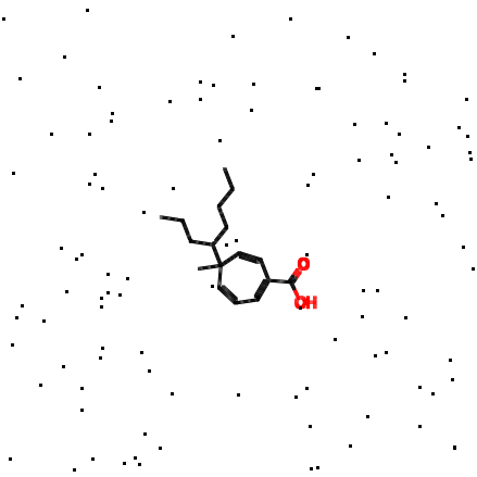 CCCCC(CCC)C1(C)C=CC=C(C(=O)O)C=C1